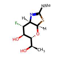 CNC1=N[C@@H]2[C@@H](F)[C@H](O)[C@@H]([C@@H](C)O)O[C@@H]2S1